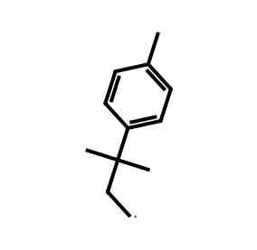 [CH2]CC(C)(C)c1ccc(C)cc1